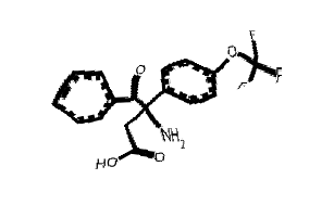 NC(CC(=O)O)(C(=O)c1ccccc1)c1ccc(OC(F)(F)F)cc1